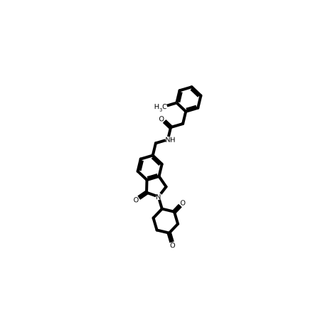 Cc1ccccc1CC(=O)NCc1ccc2c(c1)CN(C1CCC(=O)CC1=O)C2=O